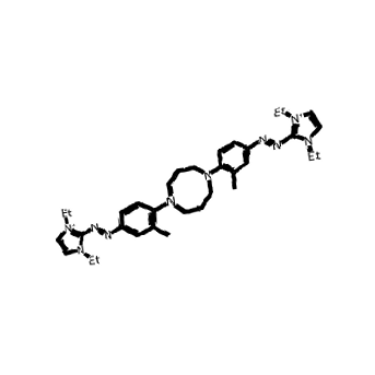 CCn1cc[n+](CC)c1/N=N/c1ccc(N2CCCN(c3ccc(/N=N/c4n(CC)cc[n+]4CC)cc3C)CCC2)c(C)c1